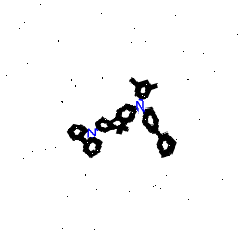 Cc1cc(C)cc(N(c2ccc(-c3ccccc3)cc2)c2ccc3c(c2)C(C)(C)c2cc(-n4c5ccccc5c5ccccc54)ccc2-3)c1